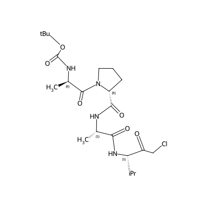 CC(C)[C@H](NC(=O)[C@H](C)NC(=O)[C@H]1CCCN1C(=O)[C@@H](C)NC(=O)OC(C)(C)C)C(=O)CCl